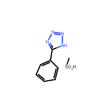 CS(=O)(=O)O.c1ccc(-c2nnn[nH]2)cc1